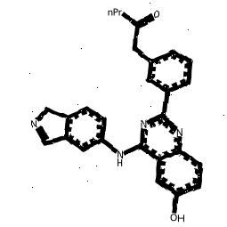 CCCC(=O)Cc1cccc(-c2nc(Nc3ccc4c(c3)C=NC4)c3cc(O)ccc3n2)c1